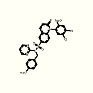 COc1ccc(CN(c2ncccn2)S(=O)(=O)c2ccc3c(ccc(=O)n3-c3cc(Cl)c(Br)cc3OC)c2)cc1